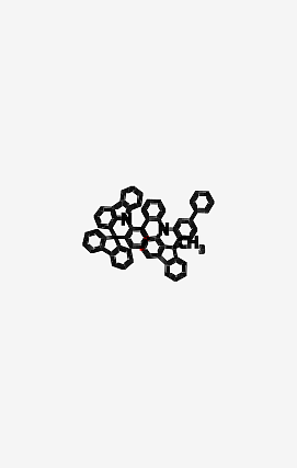 CC12c3ccccc3-c3cccc(c31)N(c1ccccc1-c1cccc3c1-n1c4ccccc4c4cccc(c41)C31c3ccccc3-c3ccccc31)c1cc(-c3ccccc3)ccc12